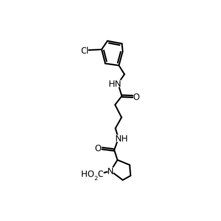 O=C(CCCNC(=O)C1CCCN1C(=O)O)NCc1cccc(Cl)c1